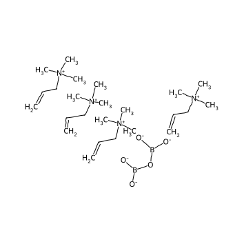 C=CC[N+](C)(C)C.C=CC[N+](C)(C)C.C=CC[N+](C)(C)C.C=CC[N+](C)(C)C.[O-]B([O-])OB([O-])[O-]